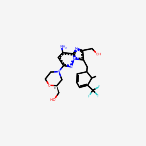 CC1C(C(F)(F)F)=CC=CC1Cc1c(CO)nc2c(N)cc(N3CCO[C@H](CO)C3)nn12